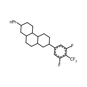 CCCC1CCC2C(CCC3CC(c4cc(F)c(C(F)(F)F)c(F)c4)CCC32)C1